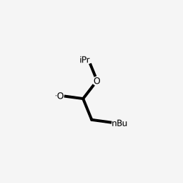 CCCCCC([O])OC(C)C